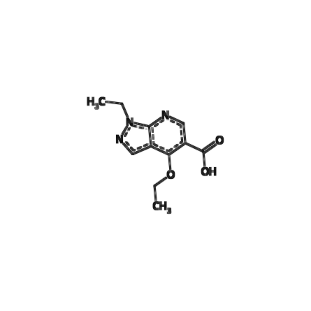 CCOc1c(C(=O)O)cnc2c1cnn2CC